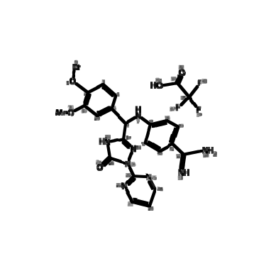 CCOc1ccc(C(Nc2ccc(C(=N)N)cc2)c2nn(-c3ncccn3)c(=O)[nH]2)cc1OC.O=C(O)C(F)(F)F